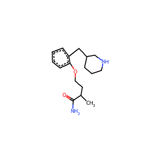 CC(CCOc1ccccc1CC1CCCNC1)C(N)=O